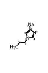 CCCn1cn[c]([Na])c1